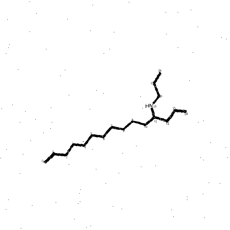 CCCCCCCCCCCC(CCC)NCCC